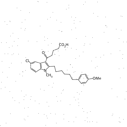 COc1ccc(CCCCCCc2c(C(=O)CCCC(=O)O)c3cc(Cl)ccc3n2C)cc1